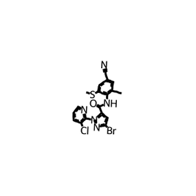 CSc1cc(C#N)cc(C)c1NC(=O)c1cc(Br)nn1-c1ncccc1Cl